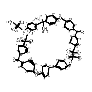 CCC(C)(CC)Oc1ccc(C(C)(C)c2ccc(Oc3ccc(C(=O)c4ccc(C(CC)(CC)C(CC)(CC)Oc5ccc(-c6ccc(Oc7ccc(C(=O)c8ccc(C(C)(CC)CC)cc8)cc7)cc6)cc5)cc4)cc3)cc2)cc1